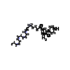 CC/C=C\C/C=C\C/C=C\C/C=C\C/C=C\CCCC(=O)NCC(C(N)=O)N1CCNCC1